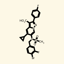 CS(=O)(=O)N(Cc1ccc(Br)c(F)c1)c1cn2nc(-c3ccc(F)cc3)c(C(=O)O)c2cc1C1CC1